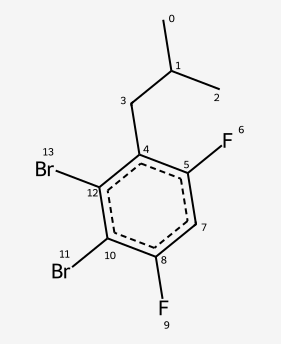 CC(C)Cc1c(F)cc(F)c(Br)c1Br